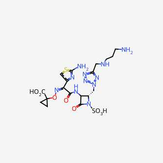 NCCCNCc1nnn(C[C@H]2C(NC(=O)/C(=N\OC3(C(=O)O)CC3)c3csc(N)n3)C(=O)N2S(=O)(=O)O)n1